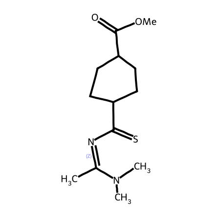 COC(=O)C1CCC(C(=S)/N=C(/C)N(C)C)CC1